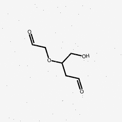 O=CCOC(CO)CC=O